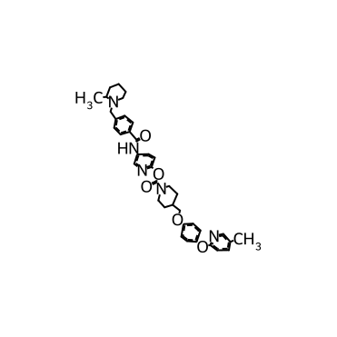 Cc1ccc(Oc2ccc(OCC3CCN(C(=O)Oc4ccc(NC(=O)c5ccc(CN6CCCCC6C)cc5)cn4)CC3)cc2)nc1